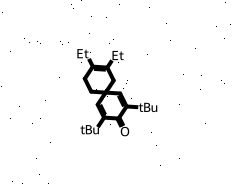 CCC1=C(CC)CC2(C=C(C(C)(C)C)C(=O)C(C(C)(C)C)=C2)CC1